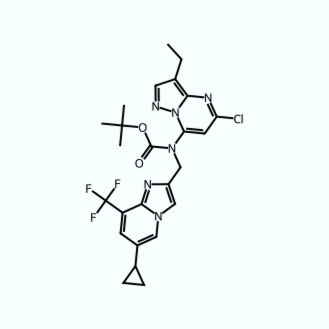 CCc1cnn2c(N(Cc3cn4cc(C5CC5)cc(C(F)(F)F)c4n3)C(=O)OC(C)(C)C)cc(Cl)nc12